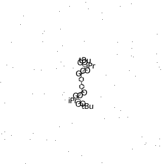 CC(C)[C@H](CC(=O)OC(C)(C)C)C(=O)OCC(=O)c1ccc(-c2ccc(C(=O)COC(=O)[C@@H](CC(=O)OC(C)(C)C)C(C)C)cc2)cc1